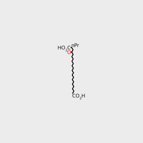 CCCC(CC(=O)CCCCCCCCCCCCCCCCCCC(=O)O)C(=O)O